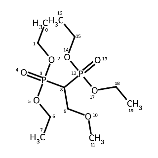 CCOP(=O)(OCC)C(COC)P(=O)(OCC)OCC